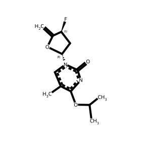 C=C1O[C@@H](n2cc(C)c(OC(C)C)nc2=O)C[C@@H]1F